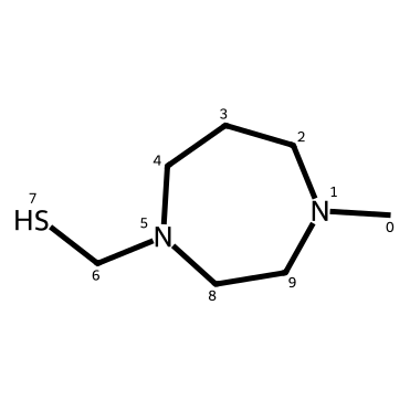 CN1CCCN(CS)CC1